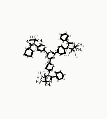 CC1(C)CN=C(c2ccccc2)N1c1ccc(-c2nc(-c3ccc(N4C(c5ccccc5)=NC(C)(C)C4(C)C)cn3)nc(-c3ccc(N4C(c5ccccc5)=NC(C)(C)C4(C)C)cn3)n2)nc1